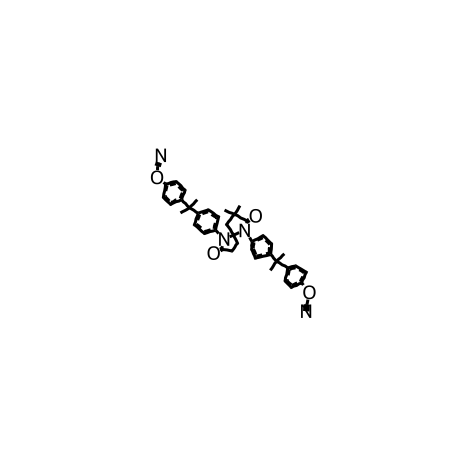 CC1(C)CC2(CCC(=O)N2c2ccc(C(C)(C)c3ccc(OC#N)cc3)cc2)N(c2ccc(C(C)(C)c3ccc(OC#N)cc3)cc2)C1=O